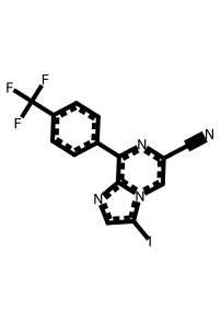 N#Cc1cn2c(I)cnc2c(-c2ccc(C(F)(F)F)cc2)n1